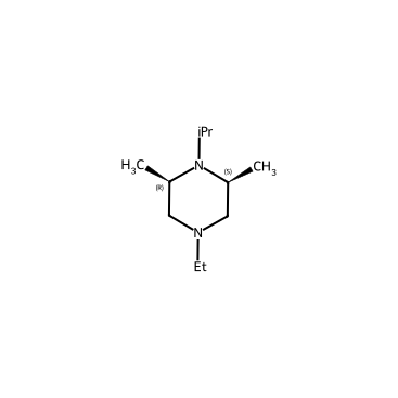 CCN1C[C@@H](C)N(C(C)C)[C@@H](C)C1